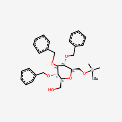 CC(C)(C)[Si](C)(C)OC[C@H]1O[C@@H](CO)[C@H](OCc2ccccc2)[C@@H](OCc2ccccc2)[C@@H]1OCc1ccccc1